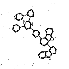 c1ccc(-c2cc(-c3ccc(-c4ccc(-c5cccc6sc7ccccc7c56)c5oc6ccccc6c45)cc3)nc(-c3ccccc3-c3ccncc3)n2)cc1